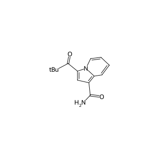 CC(C)(C)C(=O)c1cc(C(N)=O)c2ccccn12